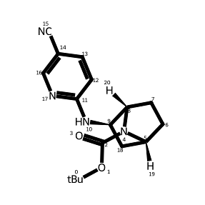 CC(C)(C)OC(=O)N1[C@@H]2CC[C@H]1[C@H](Nc1ccc(C#N)cn1)C2